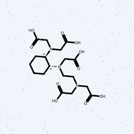 O=C(O)CN(CCN(CC(=O)O)[C@@H]1CCCC[C@H]1N(CC(=O)O)CC(=O)O)CC(=O)O